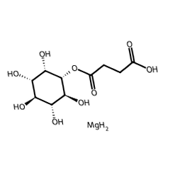 O=C(O)CCC(=O)O[C@@H]1[C@@H](O)[C@H](O)[C@@H](O)[C@H](O)[C@@H]1O.[MgH2]